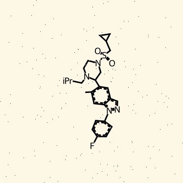 Cc1cc2c(cnn2-c2ccc(F)cc2)cc1C1CN(S(=O)(=O)CC2CC2)CCN1CC(C)C